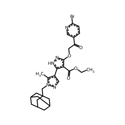 CCOC(=O)c1c(OCC(=O)c2ccc(Br)nc2)n[nH]c1-c1cnn(CC23CC4CC(CC(C4)C2)C3)c1C